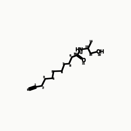 C#CCCCCCCCCC(=O)NC(C)CO